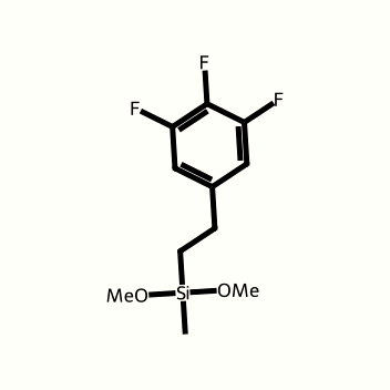 CO[Si](C)(CCc1cc(F)c(F)c(F)c1)OC